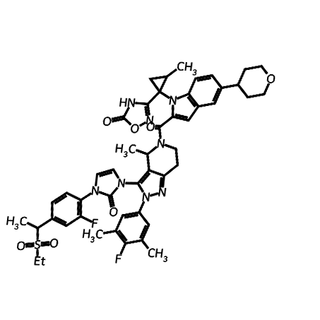 CCS(=O)(=O)C(C)c1ccc(-n2ccn(-c3c4c(nn3-c3cc(C)c(F)c(C)c3)CCN(C(=O)c3cc5cc(C6CCOCC6)ccc5n3C3(c5noc(=O)[nH]5)CC3C)C4C)c2=O)c(F)c1